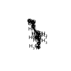 Cc1ncsc1-c1ccc(C(C)NC(=O)[C@@H]2C[C@@H](O)CN2C(=O)C(NC(=O)CCCCNc2ccc(-c3cnnc(-c4ccccc4O)c3)cc2)C(C)(C)C)cc1